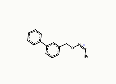 CC(C)/[C]=N\OCc1cccc(-c2ccccc2)c1